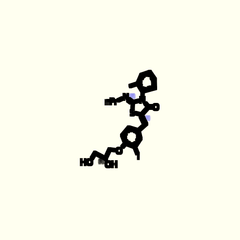 CCC/N=C1\S/C(=C\c2ccc(OC[C@H](O)CO)c(I)c2)C(=O)N1c1ccccc1C